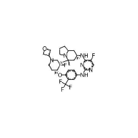 CC1(C)C[C@H](Nc2nc(Nc3ccc(O[C@@H]4CCN(C5COC5)C[C@H]4F)c(C(F)(F)F)c3)ncc2F)CC2CCCN21